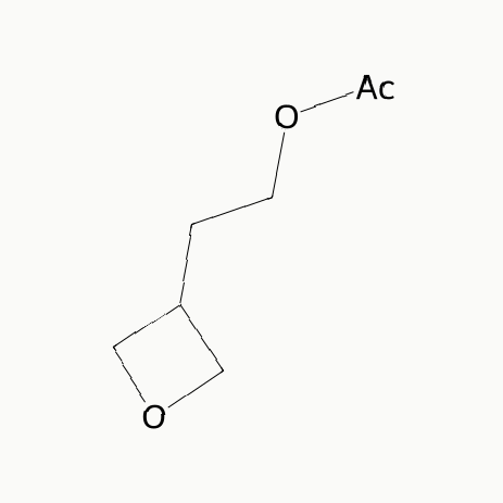 CC(=O)OCCC1COC1